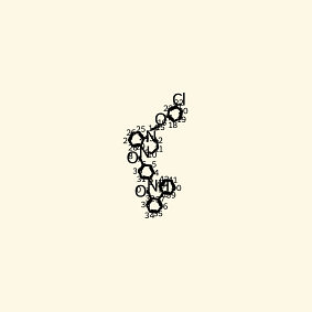 O=C(Nc1ccc(C(=O)N2CCCN(CCOc3cccc(Cl)c3)c3ccccc32)cc1)c1ccccc1-c1ccccc1